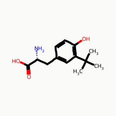 CC(C)(C)c1cc(C[C@@H](N)C(=O)O)ccc1O